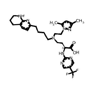 Cc1cc(C)n(CCN(CCCCc2ccc3c(n2)NCCC3)CC[C@H](Nc2ncc(C(F)(F)F)cn2)C(=O)O)n1